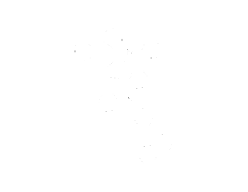 c1ccc(-c2cccc3c2c2ccccc2n3-c2ccccc2-c2ccc(N(c3ccccc3)c3ccc(-c4cccc5ccccc45)cc3)cc2)cc1